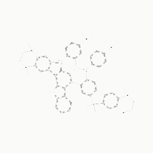 CC(C)(C)c1ccc(N2B3c4cc(C(C)(C)C)ccc4-n4c5cc6c(cc5c5c7oc8ccccc8c7c(c3c54)-c3cc4c(cc32)-c2cc3c(cc2C4(C)C)C(C)(C)CCC3(C)C)C(C)(C)CCC6(C)C)cc1